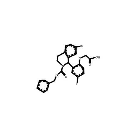 O=C(O)COc1ccc(F)cc1C1c2cc(Br)ccc2CCN1C(=O)OCc1ccccc1